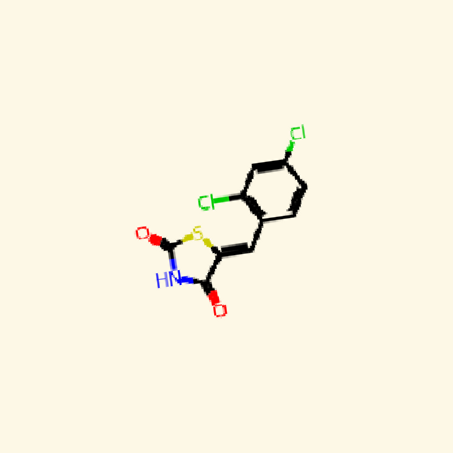 O=C1NC(=O)C(=Cc2ccc(Cl)cc2Cl)S1